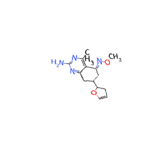 CO/N=C1\CC(C2CC=CO2)Cc2nc(N)nc(C)c21